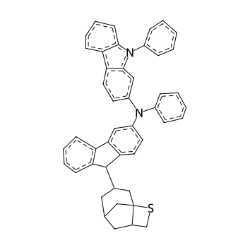 c1ccc(N(c2ccc3c(c2)-c2ccccc2C3C2CC3CC4CSC4(C3)C2)c2ccc3c4ccccc4n(-c4ccccc4)c3c2)cc1